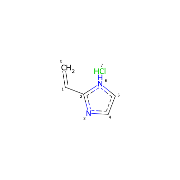 C=Cc1ncc[nH]1.Cl